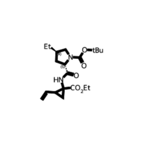 C=CC1CC1(NC(=O)[C@@H]1C[C@@H](CC)CN1C(=O)OC(C)(C)C)C(=O)OCC